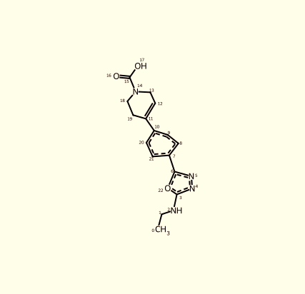 CCNc1nnc(-c2ccc(C3=CCN(C(=O)O)CC3)cc2)o1